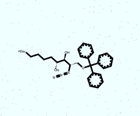 CCCCCCCCCCCCCC[C@@H](O)[C@@H](O)[C@H](COC(c1ccccc1)(c1ccccc1)c1ccccc1)N=[N+]=[N-]